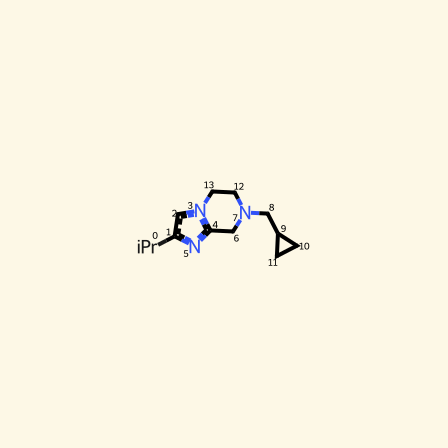 CC(C)c1cn2c(n1)CN(CC1CC1)CC2